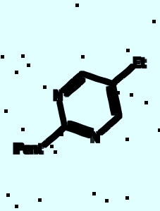 CCCC(C)c1ncc(CC)cn1